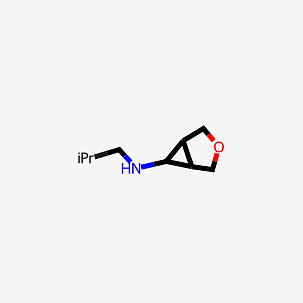 CC(C)CNC1C2COCC21